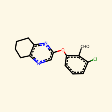 O=Cc1c(Cl)cccc1Oc1cnc2c(n1)CCCC2